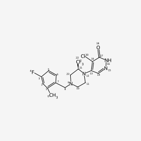 Cc1cc(F)ccc1CN1CCN(c2cn[nH]c(=O)c2Cl)[C@H](C(F)(F)F)C1